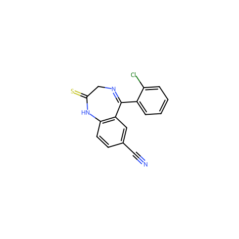 N#Cc1ccc2c(c1)C(c1ccccc1Cl)=NCC(=S)N2